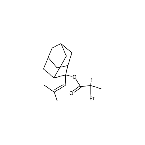 CCC(C)(C)C(=O)OC1(C=C(C)C)C2CC3CC(C2)CC1C3